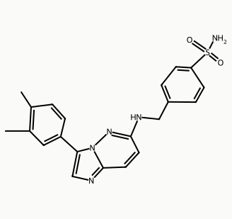 Cc1ccc(-c2cnc3ccc(NCc4ccc(S(N)(=O)=O)cc4)nn23)cc1C